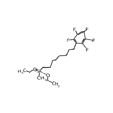 CCO[Si](C)(CCCCCCCCc1c(F)c(F)c(F)c(F)c1F)OCC